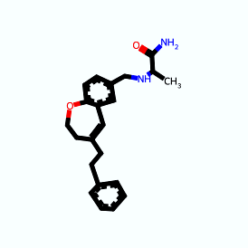 CC(NCc1ccc2c(c1)C=C(CCc1ccccc1)CCO2)C(N)=O